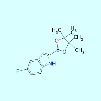 CC1(C)OB(c2cc3cc(F)ccc3[nH]2)OC1(C)C